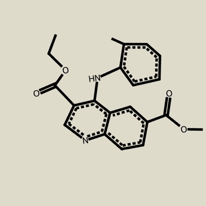 CCOC(=O)c1cnc2ccc(C(=O)OC)cc2c1Nc1ccccc1C